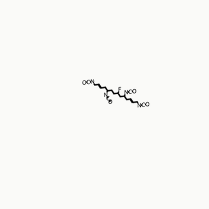 O=C=NCC=CCC(CCC(F)CC(CC=CCN=C=O)N=C=O)N=C=O